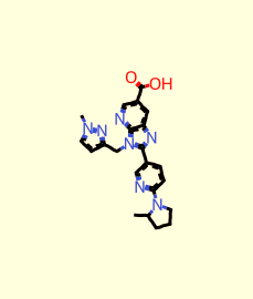 CC1CCCN1c1ccc(-c2nc3cc(C(=O)O)cnc3n2Cc2ccn(C)n2)cn1